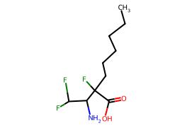 CCCCCCC(F)(C(=O)O)C(N)C(F)F